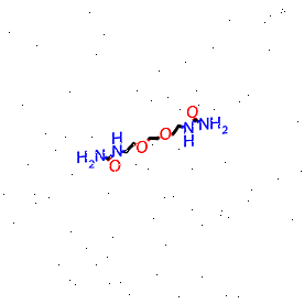 NC(=O)NCCOCCOCCNC(N)=O